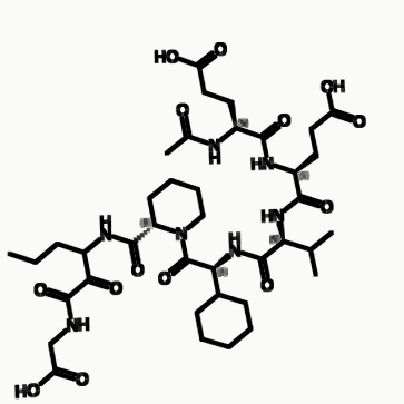 CCCC(NC(=O)[C@@H]1CCCCN1C(=O)[C@@H](NC(=O)[C@@H](NC(=O)[C@H](CCC(=O)O)NC(=O)[C@H](CCC(=O)O)NC(C)=O)C(C)C)C1CCCCC1)C(=O)C(=O)NCC(=O)O